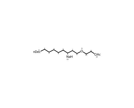 CCCCCCCCCCCCCCCCCCOCCOC(C)=O.[NaH]